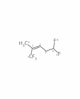 C/C(=C/CC(F)F)C(F)(F)F